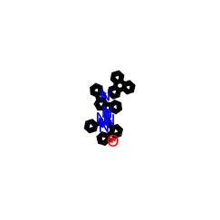 c1ccc(-c2nc(-c3cccc4oc5ccccc5c34)nc(-n3c4ccccc4c4c3ccc3c5ccccc5n(-c5ccc6c7ccccc7c7ccccc7c6c5)c34)n2)cc1